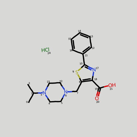 CC(C)N1CCN(Cc2sc(-c3ccccc3)nc2C(=O)O)CC1.Cl